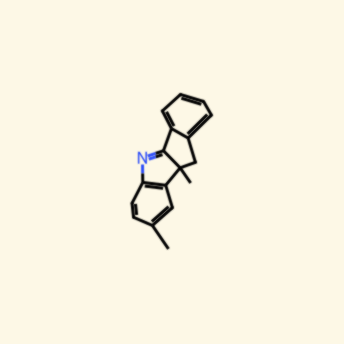 Cc1ccc2c(c1)C1(C)Cc3ccccc3C1=N2